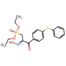 CCOP(=O)(C/C(=N\O)C(=O)c1ccc(Sc2ccccc2)cc1)OCC